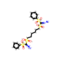 [N-]=[N+]=C(S(=O)(=O)CCCCCCS(=O)(=O)C(=[N+]=[N-])S(=O)(=O)c1ccccc1)S(=O)(=O)c1ccccc1